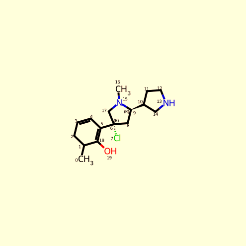 C[C]1CC=CC([C@]2(Cl)C[C@H](C3CCNC3)N(C)C2)=C1O